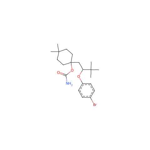 CC1(C)CCC(CC(Oc2ccc(Br)cc2)C(C)(C)C)(OC(N)=O)CC1